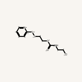 O=C(NCCCl)OCCSSc1ccccn1